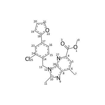 COC(=O)c1cc(C)c2nc(C)n(Cc3ccc(-c4ccco4)cc3Cl)c2n1